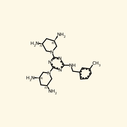 Cc1cccc(CNc2nc(N3C[C@H](N)C[C@H](N)C3)nc(N3C[C@H](N)C[C@H](N)C3)n2)c1